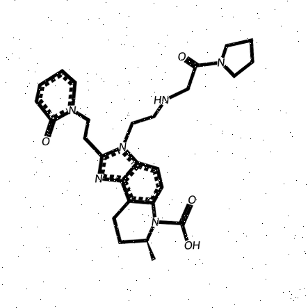 C[C@H]1CCc2c(ccc3c2nc(CCn2ccccc2=O)n3CCNCC(=O)N2CCCC2)N1C(=O)O